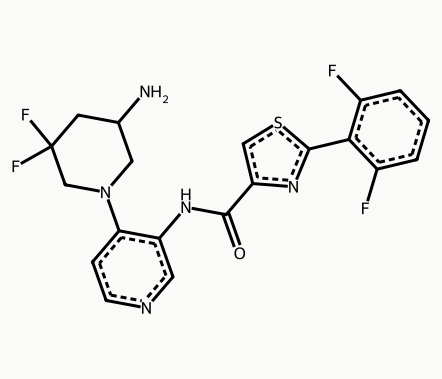 NC1CN(c2ccncc2NC(=O)c2csc(-c3c(F)cccc3F)n2)CC(F)(F)C1